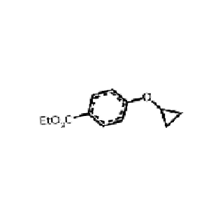 CCOC(=O)c1ccc(OC2CC2)cc1